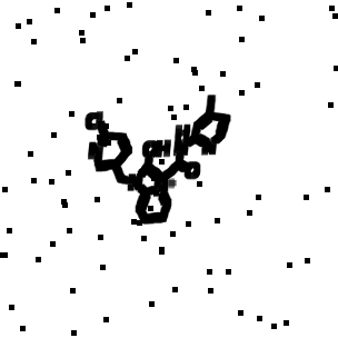 Cc1ccnc(NC(=O)c2c(O)n(Cc3ccc(Cl)nc3)c3cccc[n+]23)c1